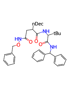 CCCCCCCCCCC(CC(=O)NOCc1ccccc1)C(=O)NC(C(=O)NC(c1ccccc1)c1ccccc1)C(C)(C)C